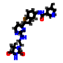 Cc1cncc(C(=O)Nc2ccc3sc(-c4ccnc(NCCN5C(=O)NC(=O)C5(C)C)n4)cc3c2)c1